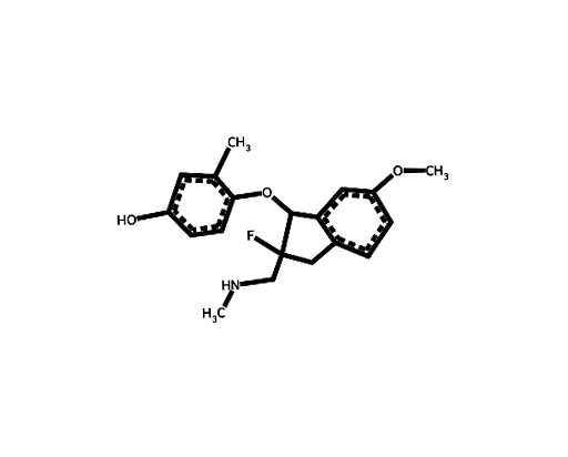 CNCC1(F)Cc2ccc(OC)cc2C1Oc1ccc(O)cc1C